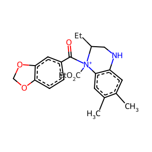 CCOC(=O)[N+]1(C(=O)c2ccc3c(c2)OCO3)c2cc(C)c(C)cc2NCC1CC